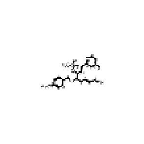 COc1ccc(COC(C/C=C/CO)C(/C=C/C2CC(C)=CCO2)O[Si](C)(C)C(C)(C)C)cc1